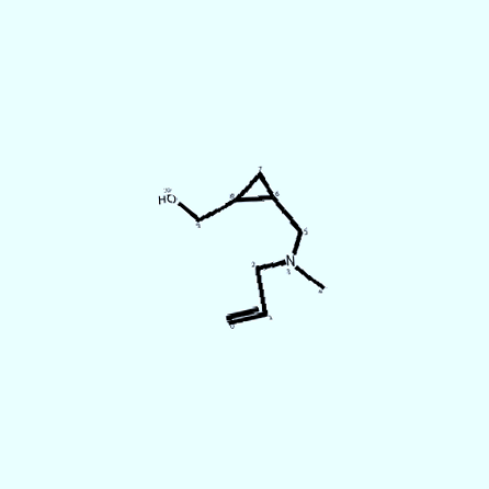 C=CCN(C)CC1CC1CO